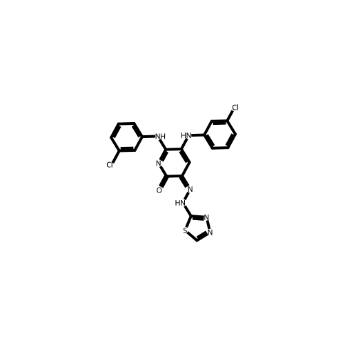 O=C1N=C(Nc2cccc(Cl)c2)C(Nc2cccc(Cl)c2)=CC1=NNc1nncs1